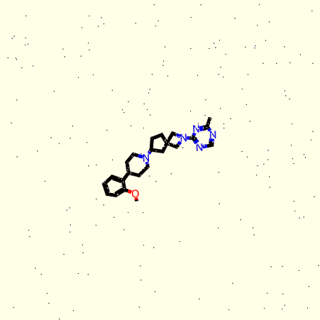 COc1ccccc1C1CCN(C2CCC3(C2)CN(c2ncnc(C)n2)C3)CC1